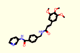 COc1cc(/C=C/C(=O)NCc2ccc(C(=O)Nc3cccnc3)cc2)cc(OC)c1OC